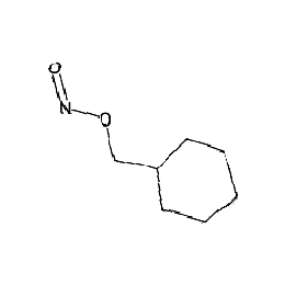 O=NOCC1CCCCC1